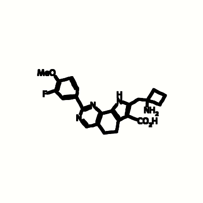 COc1ccc(-c2ncc3c(n2)-c2[nH]c(CC4(N)CCC4)c(C(=O)O)c2CC3)cc1F